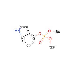 CC(C)(C)OP(=O)(Oc1cccc2[nH]ccc12)OC(C)(C)C